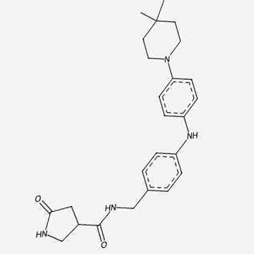 CC1(C)CCN(c2ccc(Nc3ccc(CNC(=O)C4CNC(=O)C4)cc3)cc2)CC1